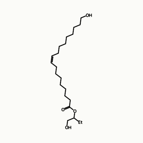 CCC(CO)OC(=O)CCCCCCC/C=C\CCCCCCCCO